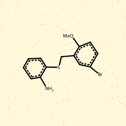 COc1ccc(Br)cc1CSc1ccccc1N